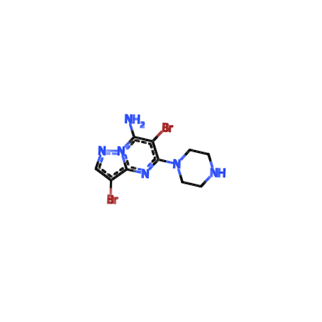 Nc1c(Br)c(N2CCNCC2)nc2c(Br)cnn12